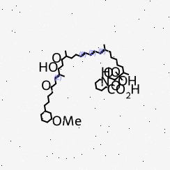 COC1CCCC(CCCCC(=O)C/C=C(\C)C(O)CC(=O)C(C)CC/C=C/C=C/C=C(\C)CCCCCC(C)C(O)(O)C(=O)C(=O)N2CCCCC2C(=O)O)C1